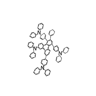 C1=CCCC(N(c2ccc(-c3cc(C4=CCCC=C4)c(C4=CCC(N(c5ccccc5)c5ccccc5)C=C4)c4c5ccc(N(c6ccccc6)c6ccccc6)cc5c5cc(-c6ccc(N(c7ccccc7)c7ccccc7)cc6)ccc5c34)cc2)C2C=CC=CC2)=C1